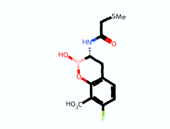 CSCC(=O)N[C@@H]1Cc2ccc(F)c(C(=O)O)c2OB1O